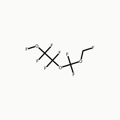 FCOC(F)(F)OC(F)(F)C(F)(F)OF